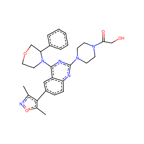 Cc1noc(C)c1-c1ccc2nc(N3CCN(C(=O)CO)CC3)nc(N3CCOCC3c3ccccc3)c2c1